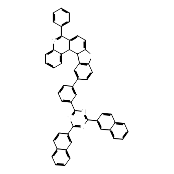 C1=C2C(c3ccccc3)=Nc3ccccc3C2C2C(=C1)Sc1ccc(-c3cccc(-c4nc(-c5ccc6ccccc6c5)nc(-c5ccc6ccccc6c5)n4)c3)cc12